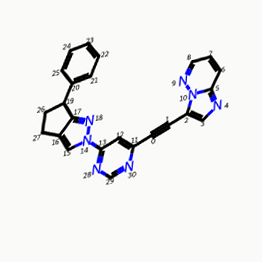 C(#Cc1cnc2cccnn12)c1cc(-n2cc3c(n2)C(c2ccccc2)CC3)ncn1